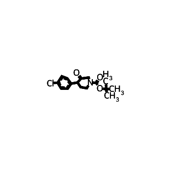 CC(C)(C)OC(=O)N1CCC(c2ccc(Cl)cc2)C(=O)C1